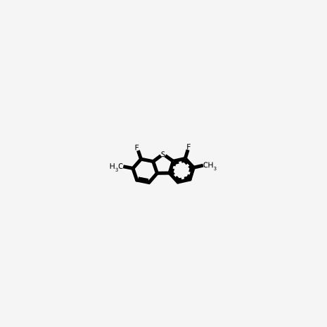 Cc1ccc2c(c1F)SC1C2C=CC(C)C1F